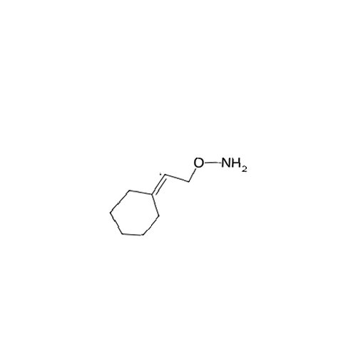 NOC[C]=C1CCCCC1